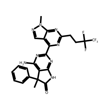 Cn1ncc2c(-c3nc(N)c4c(n3)NC(=O)C4(C)c3ccccc3)nc(CCC(F)(F)C(F)(F)F)nc21